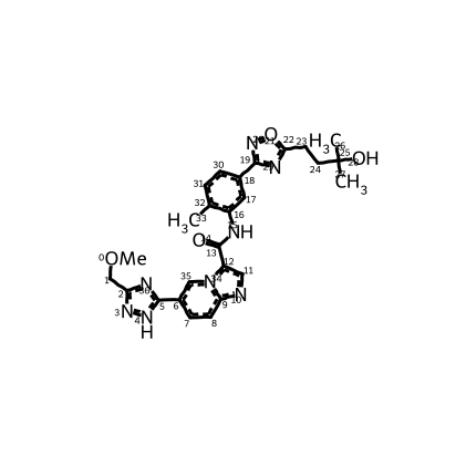 COCc1n[nH]c(-c2ccc3ncc(C(=O)Nc4cc(-c5noc(CCC(C)(C)O)n5)ccc4C)n3c2)n1